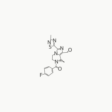 Cc1nsc(-c2nc(C=O)c3n2CCN(C(=O)c2ccc(F)cc2)[C@@H]3C)n1